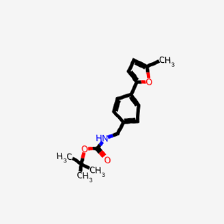 Cc1ccc(-c2ccc(CNC(=O)OC(C)(C)C)cc2)o1